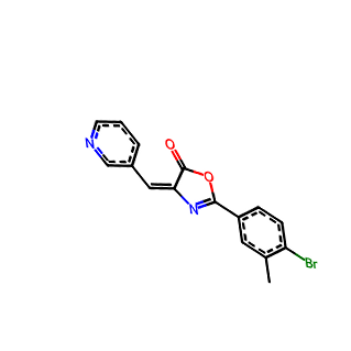 Cc1cc(C2=NC(=Cc3cccnc3)C(=O)O2)ccc1Br